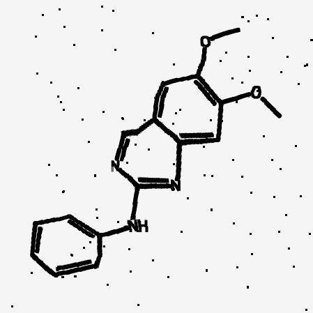 COc1cc2cnc(Nc3ccccc3)nc2cc1OC